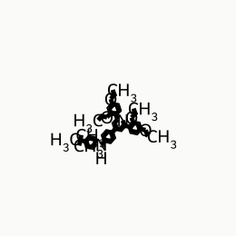 CCOc1ccc(-c2cc(-c3ccc(Nc4ccc(C(C)(C)C)cc4)cc3)cc(-c3ccc(OCC)cc3OCC)n2)c(OCC)c1